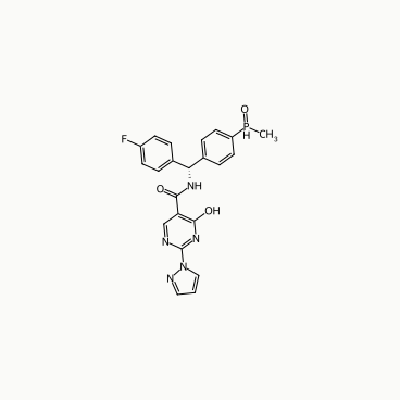 C[PH](=O)c1ccc([C@H](NC(=O)c2cnc(-n3cccn3)nc2O)c2ccc(F)cc2)cc1